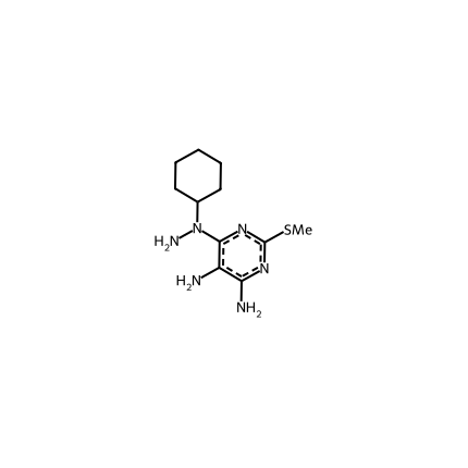 CSc1nc(N)c(N)c(N(N)C2CCCCC2)n1